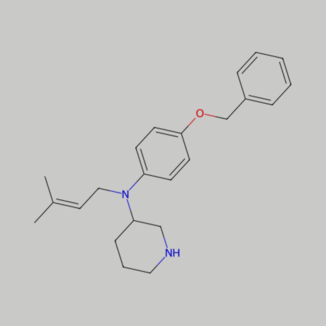 CC(C)=CCN(c1ccc(OCc2ccccc2)cc1)C1CCCNC1